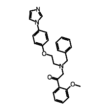 COc1ccccc1C(=O)CN(CCOc1ccc(-n2ccnc2)cc1)Cc1ccccc1